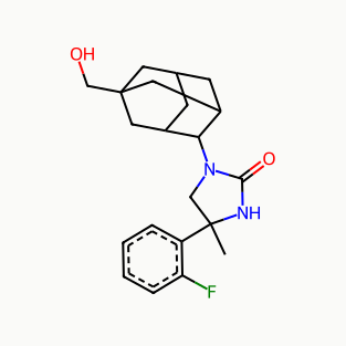 CC1(c2ccccc2F)CN(C2C3CC4CC2CC(CO)(C4)C3)C(=O)N1